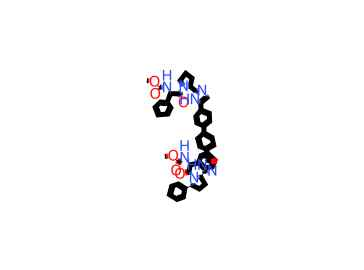 COC(=O)N[C@@H](C(=O)N1CCCC1c1ncc(-c2ccc(-c3ccc(-c4cnc([C@@H]5CC[C@H](c6ccccc6)N5C(=O)[C@H](NC(=O)OC)c5ccccc5)[nH]4)cc3)cc2)[nH]1)c1ccccc1